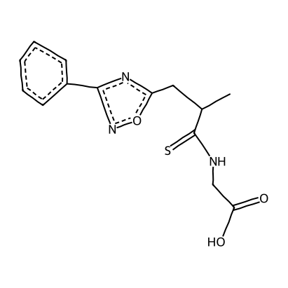 CC(Cc1nc(-c2ccccc2)no1)C(=S)NCC(=O)O